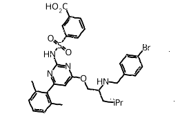 Cc1cccc(C)c1-c1cc(OCC(CC(C)C)NCc2ccc(Br)cc2)nc(NS(=O)(=O)c2cccc(C(=O)O)c2)n1